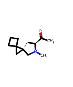 CC(=O)[C@@H]1C[C@]2(CN1C)CC21CCC1